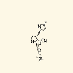 C[Si](C)(C)CCOCn1cc(C#N)c2c(C#Cc3ccc(F)cn3)ccnc21